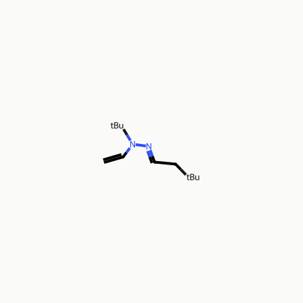 C=CN(/N=C/CC(C)(C)C)C(C)(C)C